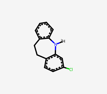 [2H]N1c2ccccc2CCc2ccc(Cl)cc21